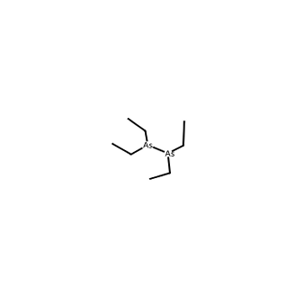 CC[As](CC)[As](CC)CC